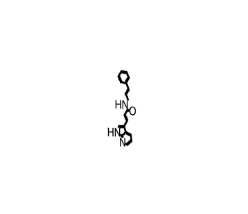 O=C(C=Cc1c[nH]c2ncccc12)NCC=Cc1ccccc1